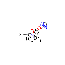 Cc1cc(C#CC2CC2)cc(=O)n1C(C)c1ccc(OCc2ncccn2)cc1